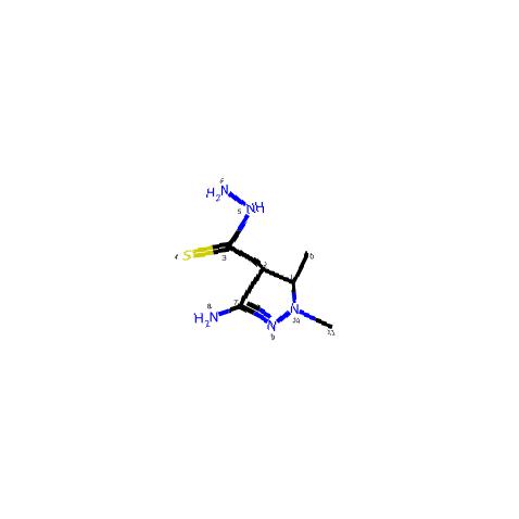 CC1C(C(=S)NN)C(N)=NN1C